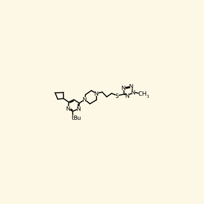 Cn1nnc(SCCCN2CCN(c3cc(C4CCC4)nc(C(C)(C)C)n3)CC2)n1